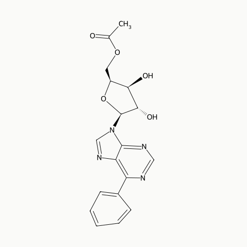 CC(=O)OC[C@@H]1O[C@H](n2cnc3c(-c4ccccc4)ncnc32)[C@@H](O)[C@@H]1O